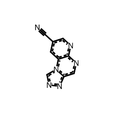 N#Cc1cnc2ncc3nncn3c2c1